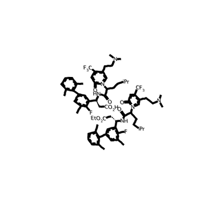 CCOC(=O)C[C@H](NC(=O)C(CCC(C)C)n1cc(CCN(C)C)c(C(F)(F)F)cc1=O)c1cc(-c2c(C)cccc2C)cc(C)c1F.Cc1cc(-c2c(C)cccc2C)cc([C@H](CC(=O)O)NC(=O)C(CCC(C)C)n2cc(CCN(C)C)c(C(F)(F)F)cc2=O)c1F